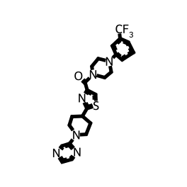 O=C(c1csc(C2CCN(c3cnccn3)CC2)n1)N1CCN(c2cccc(C(F)(F)F)c2)CC1